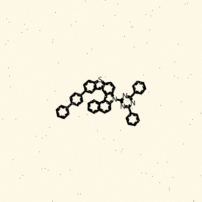 c1ccc(-c2ccc(-c3ccc4sc5ccc6c(c5c4c3)c3c4ccccc4ccc3n6-c3nc(-c4ccccc4)nc(-c4ccccc4)n3)cc2)cc1